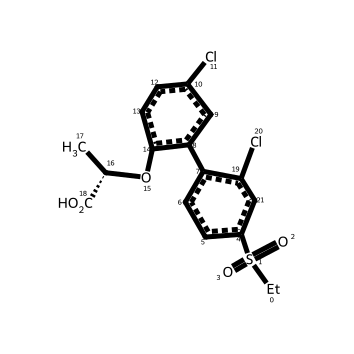 CCS(=O)(=O)c1ccc(-c2cc(Cl)ccc2O[C@@H](C)C(=O)O)c(Cl)c1